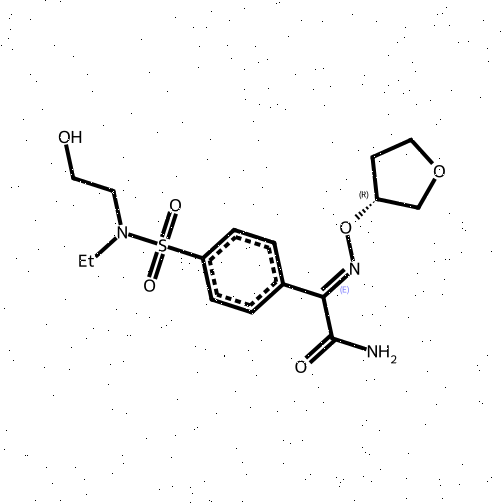 CCN(CCO)S(=O)(=O)c1ccc(/C(=N\O[C@@H]2CCOC2)C(N)=O)cc1